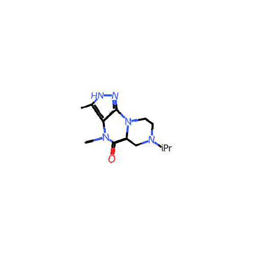 Cc1[nH]nc2c1N(C)C(=O)C1CN(C(C)C)CCN21